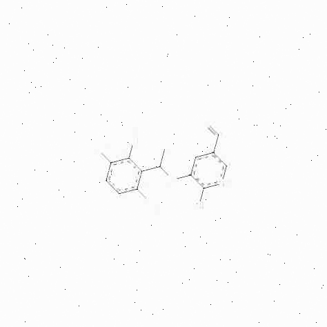 CC(Oc1cc(C=O)cnc1N)c1c(Cl)ccc(F)c1Cl